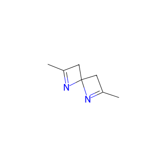 CC1=NC2(C1)CC(C)=N2